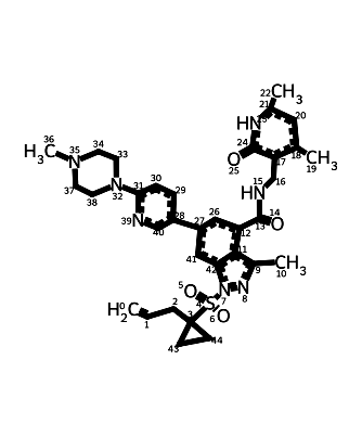 C=CCC1(S(=O)(=O)n2nc(C)c3c(C(=O)NCc4c(C)cc(C)[nH]c4=O)cc(-c4ccc(N5CCN(C)CC5)nc4)cc32)CC1